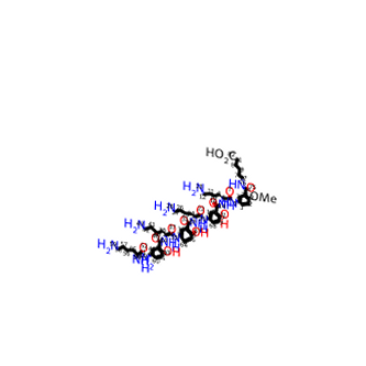 COc1ccc(NC(=O)[C@H](CCCCN)NC(=O)c2cc(NC(=O)[C@H](CCCCN)NC(=O)c3cc(NC(=O)[C@H](CCCCN)NC(=O)c4cc(NC(=O)[C@@H](N)CCCCN)ccc4O)ccc3O)ccc2O)cc1C(=O)NCCCCCC(=O)O